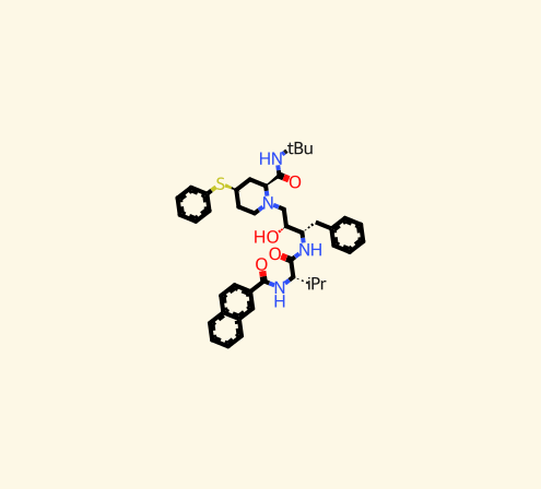 CC(C)[C@H](NC(=O)c1ccc2ccccc2c1)C(=O)N[C@@H](Cc1ccccc1)[C@H](O)CN1CC[C@@H](Sc2ccccc2)C[C@H]1C(=O)NC(C)(C)C